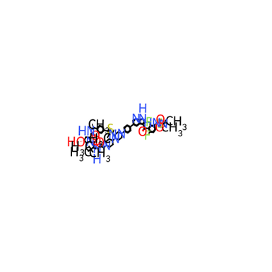 CCN(C)S(=O)(=O)Nc1ccc(F)c(C(=O)c2c[nH]c3ncc(-c4ccc(N5CCN(C6CCN(CC(=O)NC(C(=O)N7C[C@H](O)C[C@H]7C(=O)N[C@@H](C)c7ccc(-c8scnc8C)cc7)C(C)(C)C)CC6)CC5)cc4)cc23)c1F